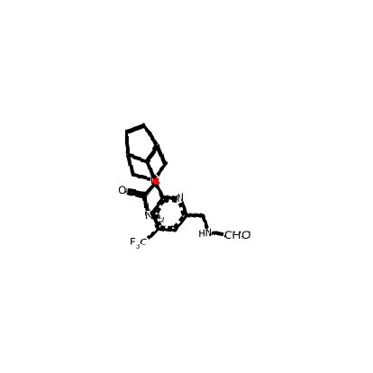 NC(=O)CC1C2CCC1CN(c1cc(C(F)(F)F)cc(CNC=O)n1)C2